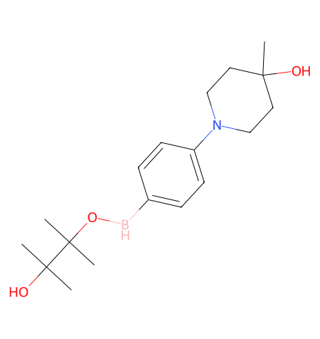 CC1(O)CCN(c2ccc(BOC(C)(C)C(C)(C)O)cc2)CC1